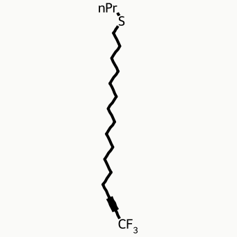 CCCSCCCCCCCCCCCCCC#CC(F)(F)F